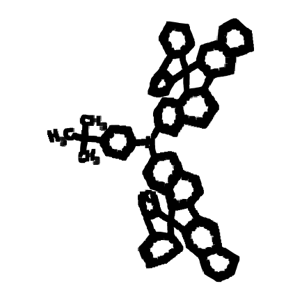 CC(C)(C)c1ccc(N(c2ccc3c4c(ccc3c2)-c2cc3ccccc3cc2C42c3ccccc3-c3ccccc32)c2ccc3c4c(ccc3c2)-c2cc3ccccc3cc2C42c3ccccc3-c3ccccc32)cc1